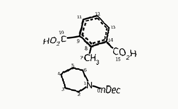 CCCCCCCCCCN1CCCCC1.Cc1c(C(=O)O)cccc1C(=O)O